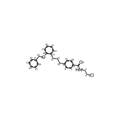 O=C(NCCCl)c1ccc(CCCc2ccccc2OCc2ccccc2)cc1